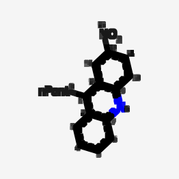 CCCCCc1c2ccccc2nc2ccc([N+](=O)[O-])cc12